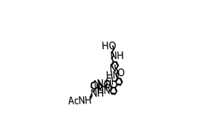 CC(=O)NCCNC1CCCn2nc(C(=O)Nc3cccc(-c4cccc(NC(=O)c5ccc(CNCCO)cn5)c4Cl)c3Cl)cc21